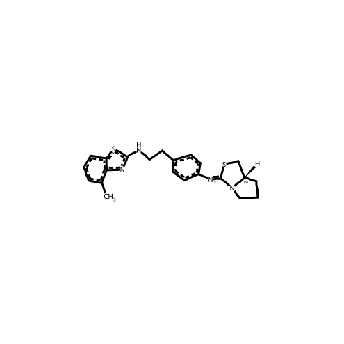 Cc1cccc2sc(NCCc3ccc(/N=C4\SC[C@@H]5CCCN45)cc3)nc12